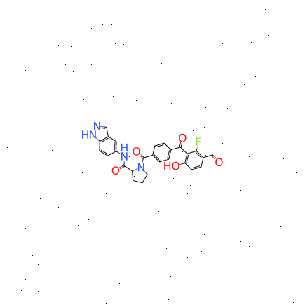 O=Cc1ccc(O)c(C(=O)c2ccc(C(=O)N3CCCC3C(=O)Nc3ccc4[nH]ncc4c3)cc2)c1F